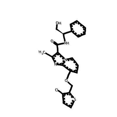 Cc1nc2c(OCc3sccc3Cl)cccn2c1C(=O)N[C@@H](CO)c1ccccc1